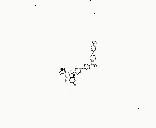 N#Cc1ccc(N2CCN(C(=O)c3ccc(-c4ccc(C(F)(F)C(O)(Cn5cnnn5)c5ccc(F)cc5F)nc4)cc3)CC2)cc1